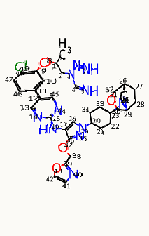 C[C@@H](CN(C=N)N=N)Oc1cc(-c2cnc(Nc3cn(C4CCC(N5CC6CCC5COC6)CC4)nc3OCc3ncco3)nc2)ccc1Cl